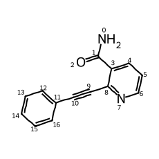 NC(=O)c1cccnc1C#Cc1ccccc1